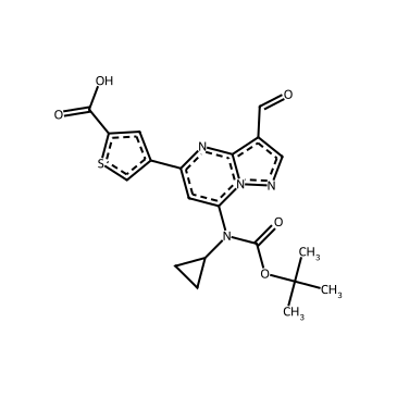 CC(C)(C)OC(=O)N(c1cc(-c2csc(C(=O)O)c2)nc2c(C=O)cnn12)C1CC1